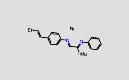 CCC=Cc1ccc(N=CC(CCCC)=Nc2ccccc2)cc1.[Ni]